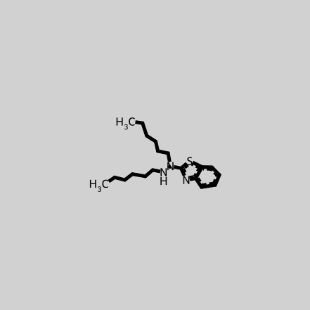 CCCCCCNN(CCCCCC)c1nc2ccccc2s1